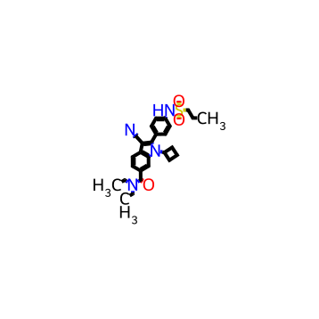 CCCS(=O)(=O)Nc1ccc(-c2c(C#N)c3ccc(C(=O)N(CC)CC)cc3n2C2CCC2)cc1